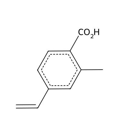 C=Cc1ccc(C(=O)O)c(C)c1